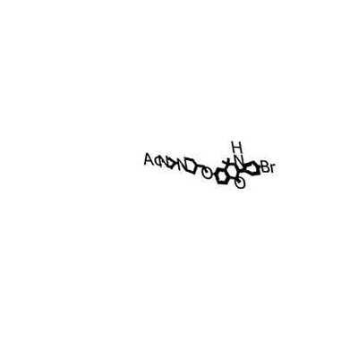 CC(=O)N1CC(N2CCC(COc3ccc4c(c3)C(C)(C)c3[nH]c5cc(Br)ccc5c3C4=O)CC2)C1